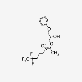 CC(OCC(O)COc1cc[c]cc1)[S+]([O-])CCCC(F)(F)C(F)(F)F